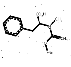 C=C(OC(C)(C)C)N(C)[C@@H](Cc1ccccc1)C(=O)O